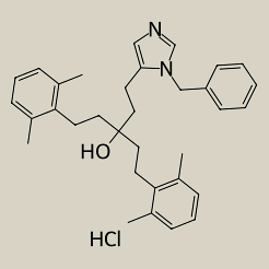 Cc1cccc(C)c1CCC(O)(CCc1c(C)cccc1C)CCc1cncn1Cc1ccccc1.Cl